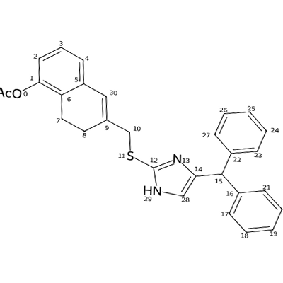 CC(=O)Oc1cccc2c1CCC(CSc1nc(C(c3ccccc3)c3ccccc3)c[nH]1)=C2